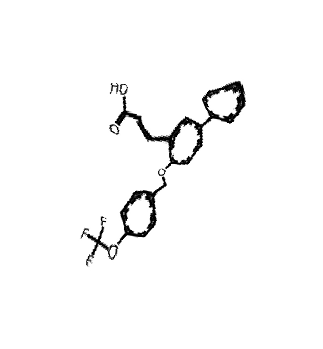 O=C(O)C=Cc1cc(-c2ccccc2)ccc1OCc1ccc(OC(F)(F)F)cc1